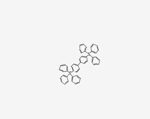 c1ccc(S(c2ccccc2)(c2ccccc2)c2ccc(-c3ccc(S(c4ccccc4)(c4ccccc4)c4ccccc4)cc3)cc2)cc1